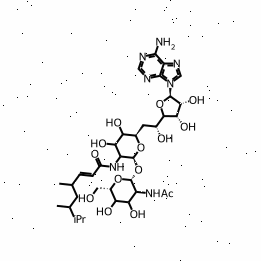 CC(=O)NC1C(O)C(O)[C@H](CO)O[C@@H]1O[C@@H]1O[C@H](C[C@@H](O)C2O[C@@H](n3cnc4c(N)ncnc43)[C@H](O)[C@@H]2O)C(O)C(O)C1NC(=O)/C=C/C(C)CC(C)C(C)C